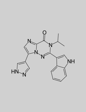 CC(C)n1c(-c2c[nH]c3ccccc23)nn2c(-c3cn[nH]c3)cnc2c1=O